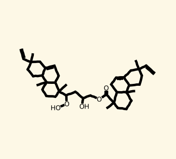 C=CC1(C)CCC2C(=CCC3C(C)(C(=O)OCC(O)CC(OO)C4(C)CCCC5(C)C6CCC(C)(C=C)CC6=CCC45)CCCC23C)C1